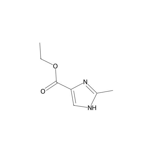 CCOC(=O)c1c[nH]c(C)n1